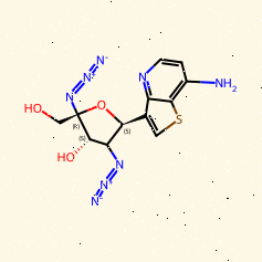 [N-]=[N+]=NC1[C@H](c2csc3c(N)ccnc23)O[C@@](CO)(N=[N+]=[N-])[C@H]1O